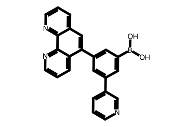 OB(O)c1cc(-c2cccnc2)cc(-c2cc3cccnc3c3ncccc23)c1